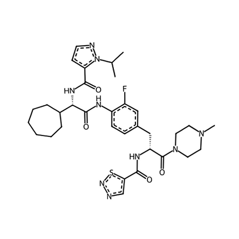 CC(C)n1nccc1C(=O)N[C@H](C(=O)Nc1ccc(C[C@@H](NC(=O)c2cnns2)C(=O)N2CCN(C)CC2)cc1F)C1CCCCCC1